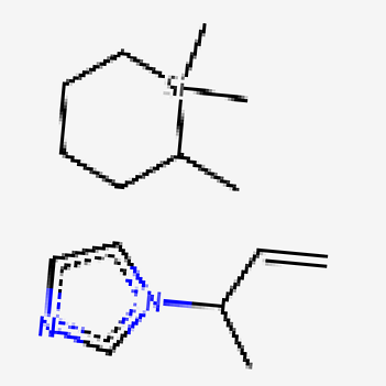 C=CC(C)n1ccnc1.CC1CCCC[Si]1(C)C